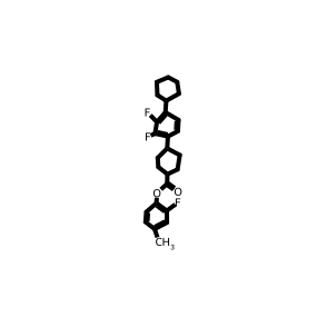 Cc1ccc(OC(=O)C2CCC(c3ccc(C4CCCCC4)c(F)c3F)CC2)c(F)c1